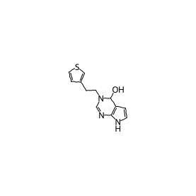 OC1c2cc[nH]c2N=CN1CCc1ccsc1